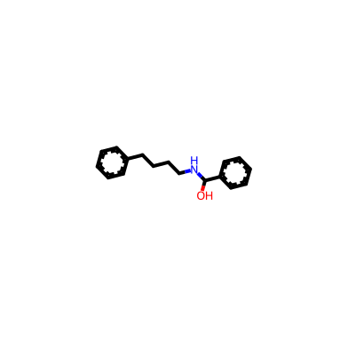 OC(NCCCCc1ccccc1)c1ccccc1